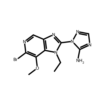 CCn1c(-n2ncnc2N)nc2cnc(Br)c(OC)c21